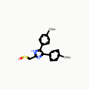 COc1ccc(-c2nc(C=S=O)[nH]c2-c2ccc(OC)cc2)cc1